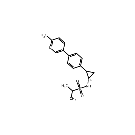 Cc1ccc(-c2ccc(C3C[C@@H]3NS(=O)(=O)C(C)C)cc2)cn1